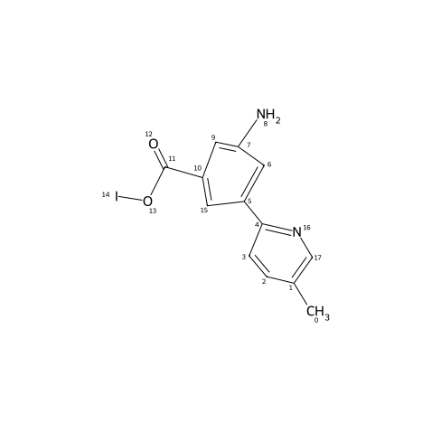 Cc1ccc(-c2cc(N)cc(C(=O)OI)c2)nc1